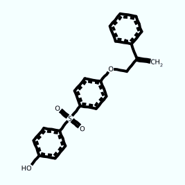 C=C(COc1ccc(S(=O)(=O)c2ccc(O)cc2)cc1)c1ccccc1